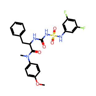 COc1ccc(N(C)C(=O)C(Cc2ccccc2)NC(=O)NS(=O)(=O)Nc2cc(F)cc(F)c2)cc1